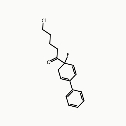 O=C(CCCCCl)C1(F)C=CC(c2ccccc2)=CC1